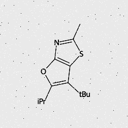 Cc1nc2oc(C(C)C)c(C(C)(C)C)c2s1